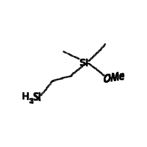 CO[Si](C)(C)CC[SiH3]